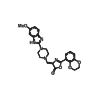 COc1ccc2nc(N3CCN(C=C4N=C(c5cccc6c5OCCO6)OC4=O)CC3)[nH]c2c1